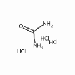 Cl.Cl.Cl.NC(N)=O